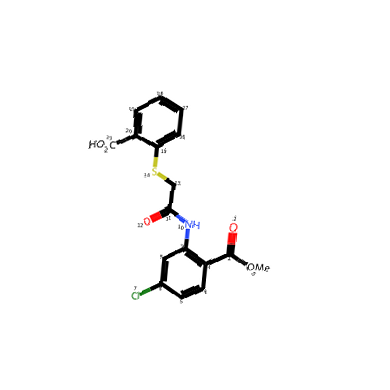 COC(=O)c1ccc(Cl)cc1NC(=O)CSc1ccccc1C(=O)O